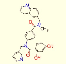 CN(Cc1ccc2ncccc2c1)C(=O)c1ccc(N(Cc2cccnc2)C(=O)c2ccc(O)cc2O)cc1